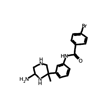 CC1(c2cccc(NC(=O)c3ccc(Br)cc3)c2)CNCC(N)N1